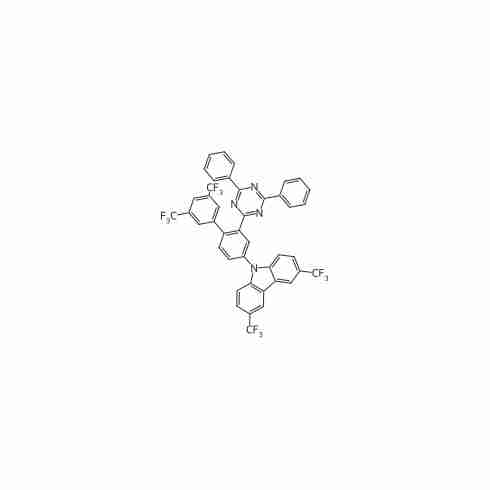 FC(F)(F)c1cc(-c2ccc(-n3c4ccc(C(F)(F)F)cc4c4cc(C(F)(F)F)ccc43)cc2-c2nc(-c3ccccc3)nc(-c3ccccc3)n2)cc(C(F)(F)F)c1